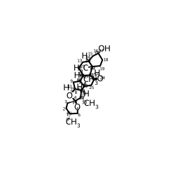 C[C@@H]1CC[C@@]2(OC1)O[C@H]1C[C@H]3[C@@H]4CC[C@H]5C[C@@H](O)CC[C@]5(C)[C@H]4C(=O)C[C@]3(C)[C@H]1[C@@H]2C